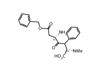 CN[C@H](C(=O)O)C(C(=O)[C@@H](N)CC(=O)OCc1ccccc1)c1ccccc1